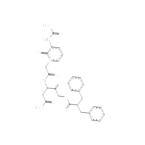 CC(=O)Nc1cccn(CC(=O)NC(CC(=O)O)C(=O)COC(=O)C(Cc2ccccc2)Cc2ccccc2)c1=O